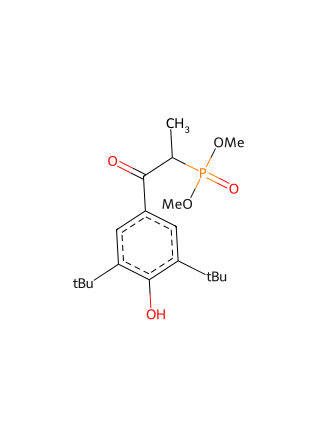 COP(=O)(OC)C(C)C(=O)c1cc(C(C)(C)C)c(O)c(C(C)(C)C)c1